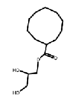 O=C(OCC(O)CO)C1CCCCCCCCC1